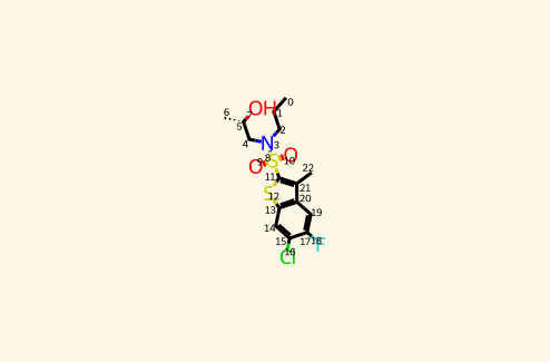 CCCN(C[C@H](C)O)S(=O)(=O)c1sc2cc(Cl)c(F)cc2c1C